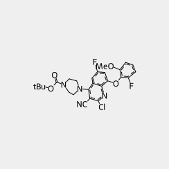 COc1cccc(F)c1Oc1cc(F)cc2c(N3CCN(C(=O)OC(C)(C)C)CC3)c(C#N)c(Cl)nc12